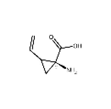 C=CC1C[C@@]1(N)C(=O)O